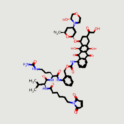 CC(C)[C@H](NC(=O)CCCCCN1C(=O)C=CC1=O)C(=O)N[C@@H](CCCNC(N)=O)C(=O)Nc1ccccc1COC(=O)Nc1cccc2c1C(=O)c1c(O)c3c(c(O)c1C2=O)CC(C(=O)CO)CC3O[C@H]1C[C@H](N2CCOC[C@H]2O)C[C@H](C)O1